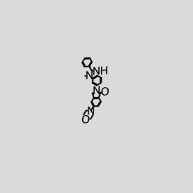 CN1c2cc(N3Cc4cc(N5CCOCC5)ccc4C3=O)ccc2NC1c1ccccc1